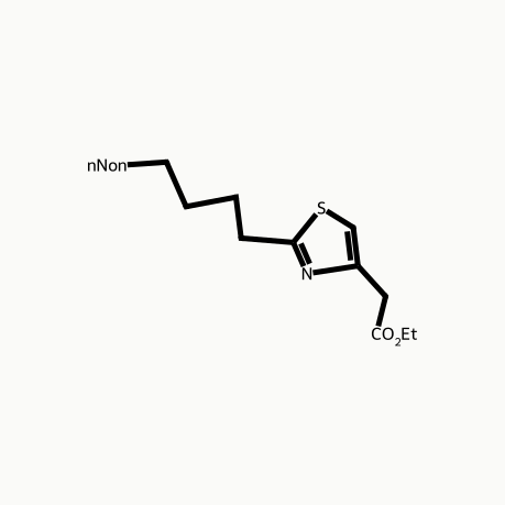 CCCCCCCCCCCCCc1nc(CC(=O)OCC)cs1